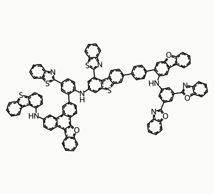 c1ccc2oc(-c3cc(Nc4cc5c(cc4-c4ccc(-c6ccc7c(c6)sc6cc(Nc8ccc(-c9nc%10ccccc%10s9)cc8-c8ccc9c(c8)c8cc(Nc%10cccc%11sc%12ccccc%12c%10%11)ccc8c8c%10ccccc%10oc98)cc(-c8nc9ccccc9s8)c67)cc4)oc4ccccc45)cc(-c4nc5ccccc5o4)c3)nc2c1